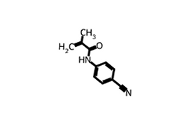 C=C(C)C(=O)Nc1ccc(C#N)cc1